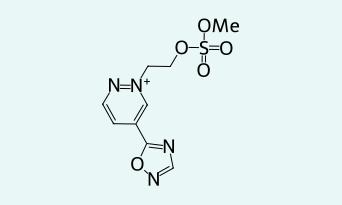 COS(=O)(=O)OCC[n+]1cc(-c2ncno2)ccn1